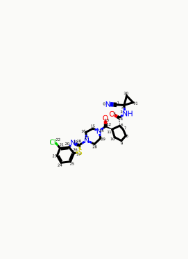 N#CC1(NC(=O)[C@@H]2CCCC[C@H]2C(=O)N2CCN(c3nc4c(Cl)cccc4s3)CC2)CC1